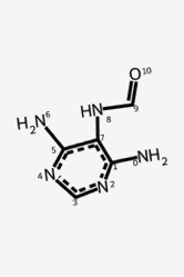 Nc1ncnc(N)c1NC=O